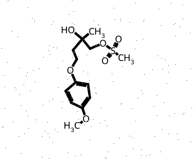 COc1ccc(OCCC(C)(O)COS(C)(=O)=O)cc1